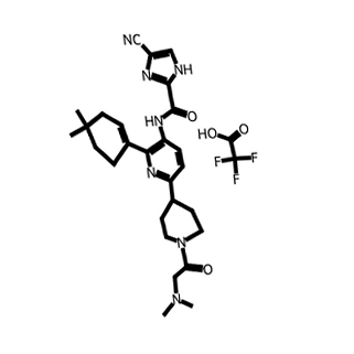 CN(C)CC(=O)N1CCC(c2ccc(NC(=O)c3nc(C#N)c[nH]3)c(C3=CCC(C)(C)CC3)n2)CC1.O=C(O)C(F)(F)F